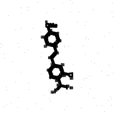 COc1ccc(/C=C/c2ccc(C(F)F)c(Cl)c2)cc1